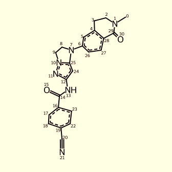 CN1CCc2cc(N3CCn4nc(NC(=O)c5ccc(C#N)cc5)cc43)ccc2C1=O